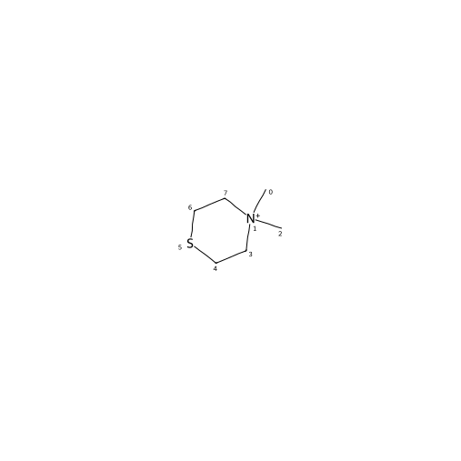 C[N+]1(C)CCSCC1